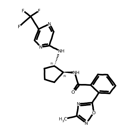 Cc1noc(-c2ccccc2C(=O)N[C@H]2CCC[C@@H]2Nc2cnc(C(F)(F)F)cn2)n1